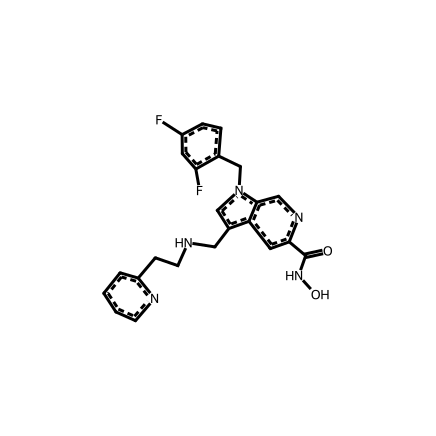 O=C(NO)c1cc2c(CNCCc3ccccn3)cn(Cc3ccc(F)cc3F)c2cn1